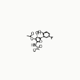 CC(=O)Oc1c(NS(C)(=O)=O)oc(-c2cc(F)ccc2Cl)c1O